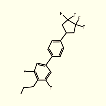 CCCc1c(F)cc(-c2ccc(C3CC(F)(F)C(F)(F)C3)cc2)cc1F